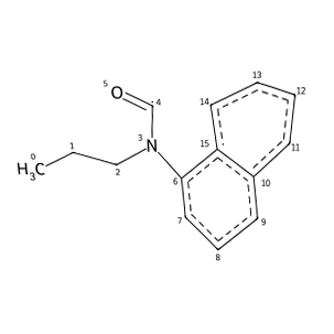 CCCN([C]=O)c1cccc2ccccc12